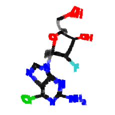 Nc1nc(Cl)c2ncn([C@@H]3O[C@H](CO)C(O)C3F)c2n1